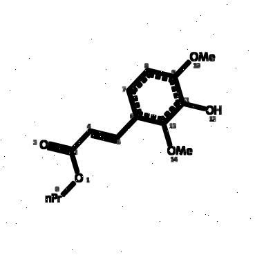 CCCOC(=O)C=Cc1ccc(OC)c(O)c1OC